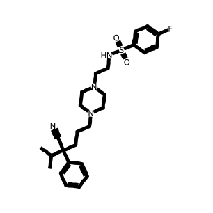 CC(C)C(C#N)(CCCN1CCN(CCNS(=O)(=O)c2ccc(F)cc2)CC1)c1ccccc1